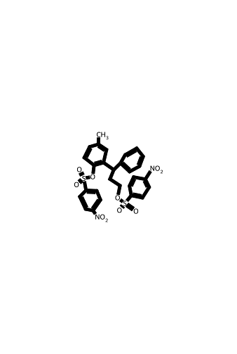 Cc1ccc(OS(=O)(=O)c2ccc([N+](=O)[O-])cc2)c(C(CCOS(=O)(=O)c2ccc([N+](=O)[O-])cc2)c2ccccc2)c1